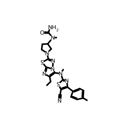 CCc1nc2sc(N3CCC(N(C)C(N)=O)C3)nn2c1N(C)c1nc(-c2ccc(C)cc2)c(C#N)s1